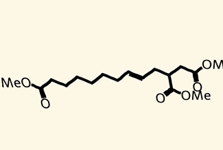 COC(=O)CCCCCC/C=C/CC(CC(=O)OC)C(=O)OC